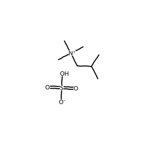 CC(C)C[N+](C)(C)C.O=S(=O)([O-])O